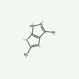 N#Cc1cc2c(Br)n[nH]c2s1